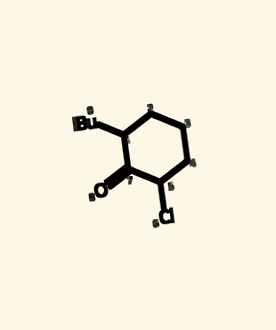 CCC(C)C1CCCC(Cl)C1=O